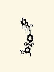 CCc1cc(OC)cc(S(=O)(=O)c2ccc(CNC(=O)c3cc4cnccc4[nH]3)cc2)c1